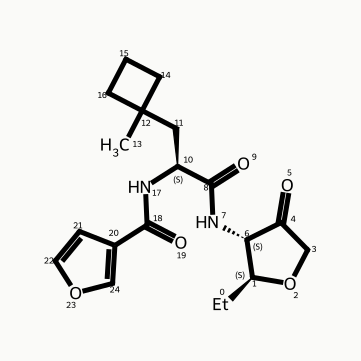 CC[C@@H]1OCC(=O)[C@H]1NC(=O)[C@H](CC1(C)CCC1)NC(=O)c1ccoc1